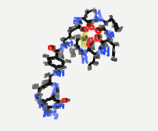 C#CC[C@H](NC(=O)[C@H](CC)NC(=O)CCCNC(=O)c1ccc(NCc2cnc3nc(N)[nH]c(=O)c3n2)cc1)C(=O)N[C@@H](CC)C(=O)N[C@@H](CC)C(=O)N[C@H](C)CS